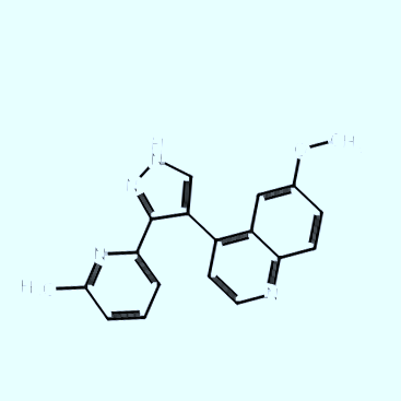 COc1ccc2nccc(-c3c[nH]nc3-c3cccc(C)n3)c2c1